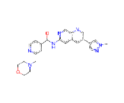 Cn1cc(-c2cnc3cnc(NC(=O)c4ccnc(CN5CCOCC5)c4)cc3c2)cn1